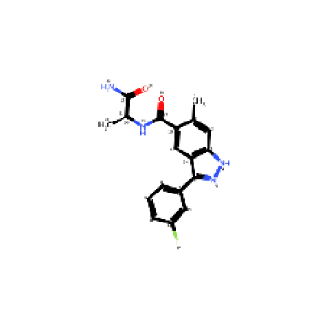 Cc1cc2[nH]nc(-c3cccc(F)c3)c2cc1C(=O)N[C@@H](C)C(N)=O